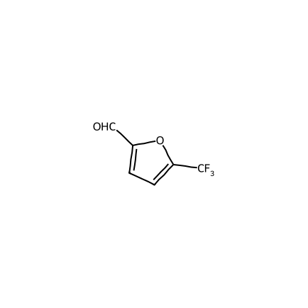 O=Cc1ccc(C(F)(F)F)o1